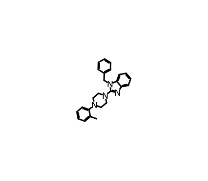 Cc1ccccc1N1CCN(c2nc3ccccc3n2Cc2ccccc2)CC1